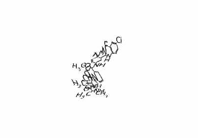 CNC(C)C(=O)NC(C(=O)N1CCCC1C(=O)Nc1cc2c(Nc3ccc(Cl)cc3F)ncnc2cc1OC)C(C)(C)C